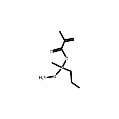 C=C(C)C(=O)O[Si](C)(CCC)O[SiH3]